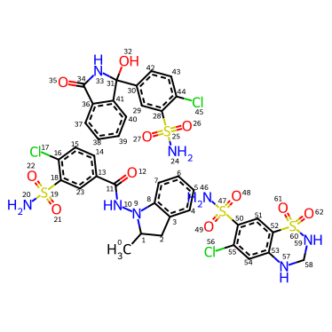 CC1Cc2ccccc2N1NC(=O)c1ccc(Cl)c(S(N)(=O)=O)c1.NS(=O)(=O)c1cc(C2(O)NC(=O)c3ccccc32)ccc1Cl.NS(=O)(=O)c1cc2c(cc1Cl)NCNS2(=O)=O